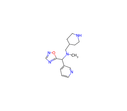 CN(CC1CCNCC1)C(c1cccnc1)c1ncno1